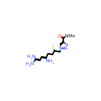 CNC(=O)c1cn(CC(F)CC/C(N)=C/C=C(N)N)nn1